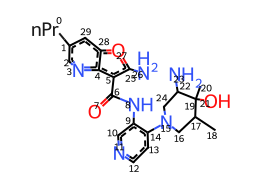 CCCc1cnc2c(C(=O)Nc3cnccc3N3CC(C)C(C)(O)C(N)C3)c(N)oc2c1